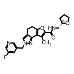 Cc1c(C(=O)NC[C@@H]2CCCO2)oc2c1-c1nn(Cc3cncc(F)c3)cc1CC2